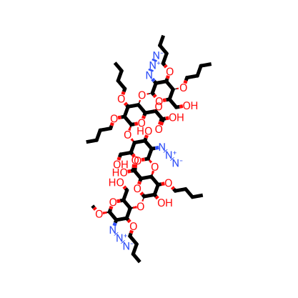 CCCCOC1C(OCCCC)[C@H](O[C@H]2OC(CO)[C@@H](OCCCC)C(OCCCC)C2N=[N+]=[N-])C(C(=O)C(=O)O)O[C@H]1O[C@@H]1C(CO)O[C@H](O[C@@H]2C(C(=O)O)O[C@@H](O[C@@H]3C(CO)O[C@H](OC)C(N=[N+]=[N-])C3OCCCC)C(O)C2OCCCC)C(N=[N+]=[N-])C1O